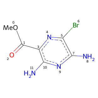 COC(=O)c1nc(Br)c(N)nc1N